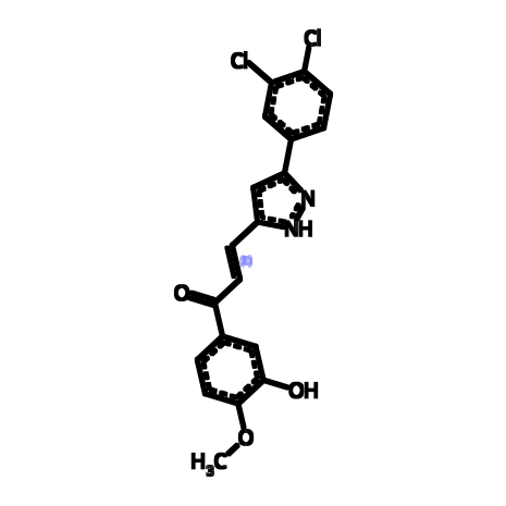 COc1ccc(C(=O)/C=C/c2cc(-c3ccc(Cl)c(Cl)c3)n[nH]2)cc1O